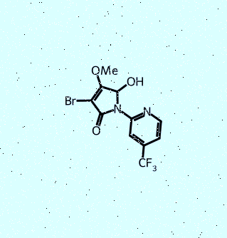 COC1=C(Br)C(=O)N(c2cc(C(F)(F)F)ccn2)C1O